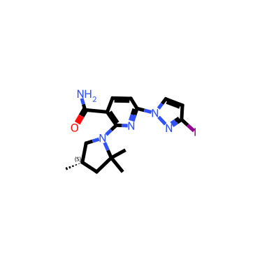 C[C@@H]1CN(c2nc(-n3ccc(I)n3)ccc2C(N)=O)C(C)(C)C1